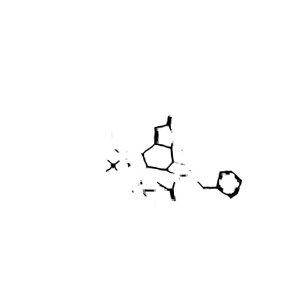 CC(C)(C)[Si](C)(C)O[C@@H]1C2=CC(=O)O[C@H]2[C@@H](O)[C@]2(CC(=O)N2OCc2ccccc2)[C@@H]1O[Si](C)(C)C